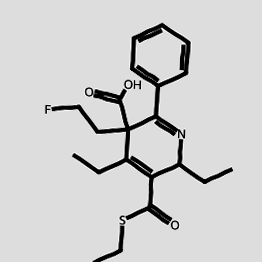 CCSC(=O)C1=C(CC)C(CCF)(C(=O)O)C(c2ccccc2)=NC1CC